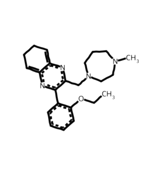 CCOc1ccccc1-c1nc2c(nc1CN1CCCN(C)CC1)=CCCC=2